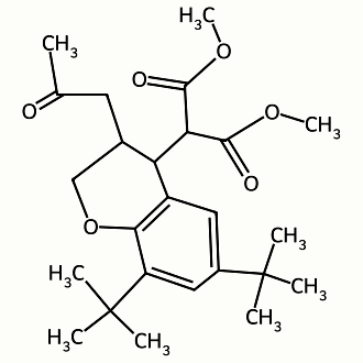 COC(=O)C(C(=O)OC)C1c2cc(C(C)(C)C)cc(C(C)(C)C)c2OCC1CC(C)=O